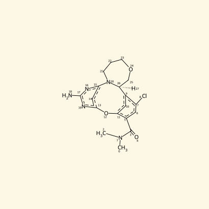 CN(C)C(=O)c1cc(Cl)c2cc1Oc1cc(nc(N)n1)N1CCCOC[C@@H]21